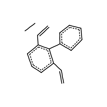 C=Cc1cccc(C=C)c1-c1ccccc1.CC